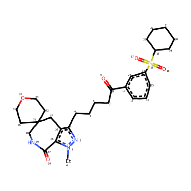 CCn1nc(CCCCC(=O)c2cccc(S(=O)(=O)C3CCCCC3)c2)c2c1C(=O)NCC1(CCOCC1)C2